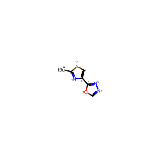 CC(C)(C)c1nc(-c2nnco2)cs1